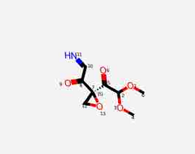 COC(OC)C(=O)[C@@]1(C(=O)C=N)CO1